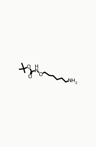 CC(C)(C)OC(=O)NOCCCCCCN